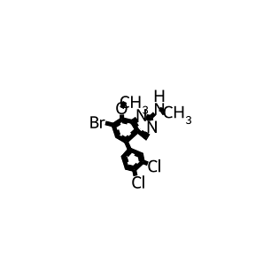 CNc1ncc2c(-c3ccc(Cl)c(Cl)c3)cc(Br)c(OC)c2n1